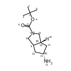 CC(C)(C)OC(=O)N1CC2C[C@@H](N)C[C@H]2C1